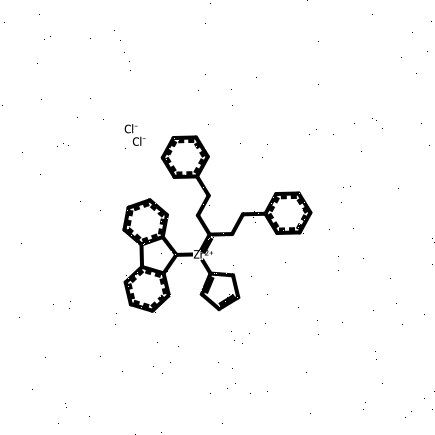 C1=CC[C]([Zr+2](=[C](CCc2ccccc2)CCc2ccccc2)[CH]2c3ccccc3-c3ccccc32)=C1.[Cl-].[Cl-]